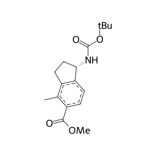 COC(=O)c1ccc2c(c1C)CC[C@@H]2NC(=O)OC(C)(C)C